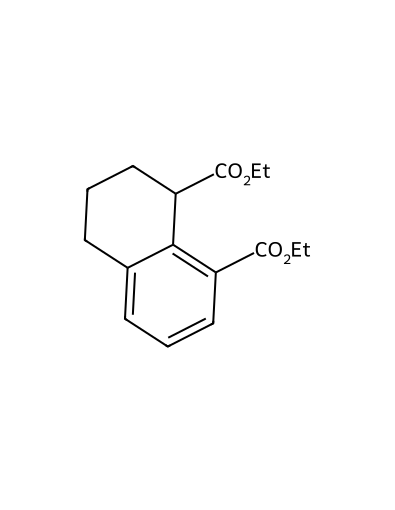 CCOC(=O)c1cccc2c1C(C(=O)OCC)CCC2